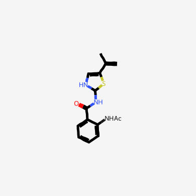 C=C(C)C1=CNC(NC(=O)c2ccccc2NC(C)=O)S1